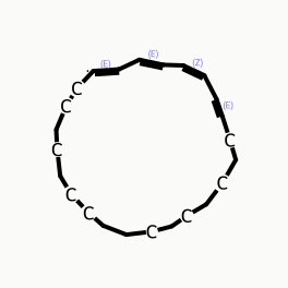 [C]1=C/C=C/C=C\C=C\CCCCCCCCCCCCCCCC/1